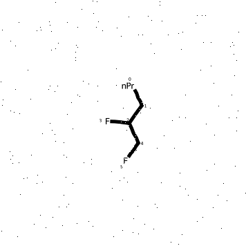 [CH2]CCCC(F)CF